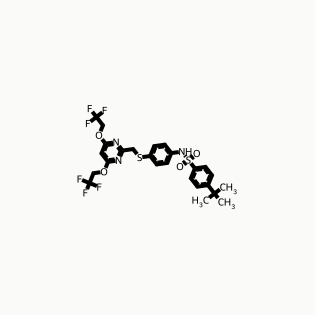 CC(C)(C)c1ccc(S(=O)(=O)Nc2ccc(SCc3nc(OCC(F)(F)F)cc(OCC(F)(F)F)n3)cc2)cc1